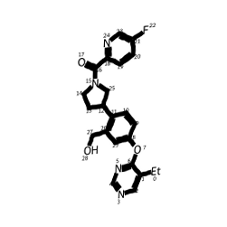 CCc1cncnc1Oc1ccc(C2CCN(C(=O)c3ccc(F)cn3)C2)c(CO)c1